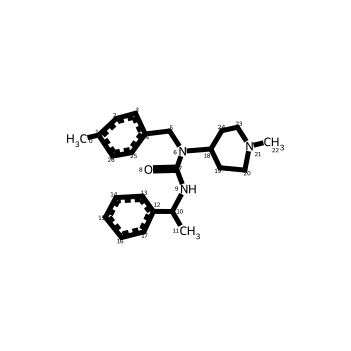 Cc1ccc(CN(C(=O)NC(C)c2ccccc2)C2CCN(C)CC2)cc1